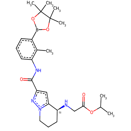 Cc1c(NC(=O)c2cc3n(n2)CCC[C@@H]3NCC(=O)OC(C)C)cccc1B1OC(C)(C)C(C)(C)O1